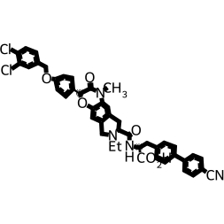 CCN1Cc2cc3c(cc2CC1C(=O)N[C@@H](Cc1ccc(-c2ccc(C#N)cc2)cc1)C(=O)O)N(C)C(=O)[C@H](c1ccc(OCc2ccc(Cl)c(Cl)c2)cc1)O3